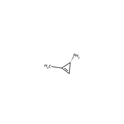 CC1=C[C@H]1P